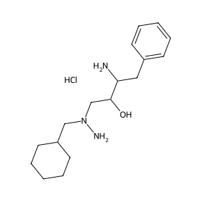 Cl.NC(Cc1ccccc1)C(O)CN(N)CC1CCCCC1